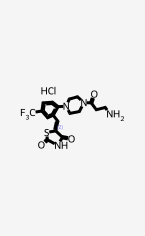 Cl.NCCC(=O)N1CCN(c2ccc(C(F)(F)F)cc2/C=C2\SC(=O)NC2=O)CC1